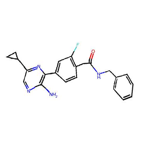 Nc1ncc(C2CC2)nc1-c1ccc(C(=O)NCc2ccccc2)c(F)c1